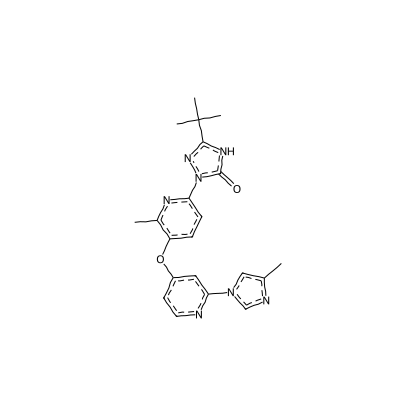 Cc1cn(-c2cc(Oc3ccc(-n4nc(C(C)(C)C)[nH]c4=O)nc3C)ccn2)cn1